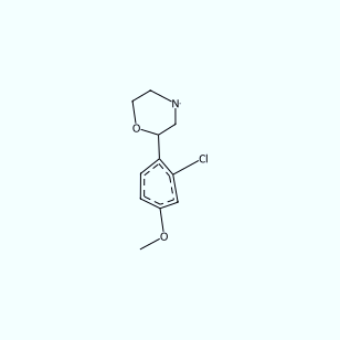 COc1ccc(C2C[N]CCO2)c(Cl)c1